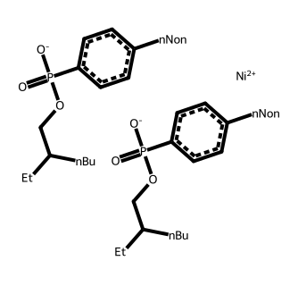 CCCCCCCCCc1ccc(P(=O)([O-])OCC(CC)CCCC)cc1.CCCCCCCCCc1ccc(P(=O)([O-])OCC(CC)CCCC)cc1.[Ni+2]